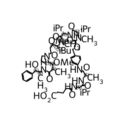 CC[C@H](C)[C@@H]([C@@H](CC(=O)N1CCC[C@H]1[C@H](OC)[C@@H](C)C(=O)N[C@H](C)[C@@H](O)c1ccccc1)OC)N(C)C(=O)[C@@H](NC(=O)[C@H](C(C)C)N(C)C(=O)OCc1ccc(NC(=O)[C@H](C)NC(=O)[C@@H](NC(=O)CCCC(=O)O)C(C)C)cc1)C(C)C